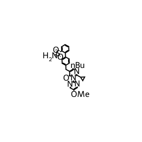 CCCCc1nc(C2CC2)n(-c2ncc(OC)cn2)c(=O)c1Cc1ccc(-c2ccccc2S(N)(=O)=O)cc1